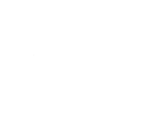 Cc1cc(OCCC(C)Oc2ccc(F)cc2C(=O)c2ccccc2)ccc1CCC(=O)O